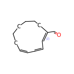 O=C/C1=C\C=CC=CCCCCCC1